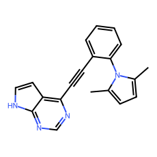 Cc1ccc(C)n1-c1ccccc1C#Cc1ncnc2[nH]ccc12